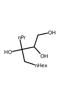 CCCCCCCC(O)(CCC)C(O)CO